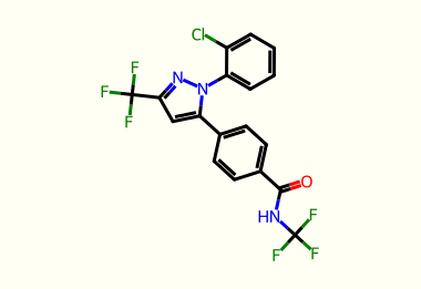 O=C(NC(F)(F)F)c1ccc(-c2cc(C(F)(F)F)nn2-c2ccccc2Cl)cc1